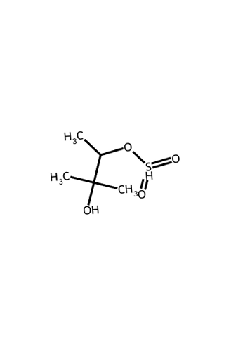 CC(O[SH](=O)=O)C(C)(C)O